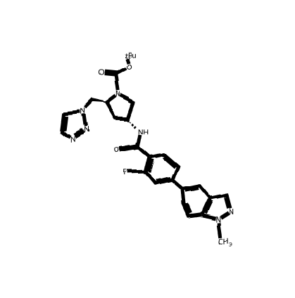 Cn1ncc2cc(-c3ccc(C(=O)N[C@@H]4C[C@@H](Cn5ccnn5)N(C(=O)OC(C)(C)C)C4)c(F)c3)ccc21